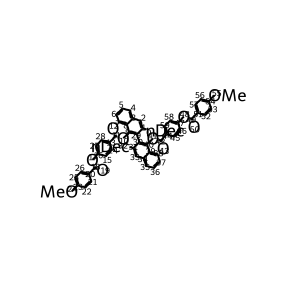 CCCCCCCCCCc1cc2ccccc2c(OC(=O)c2ccc(OC(=O)c3ccc(OC)cc3)cc2)c1-c1c(CCCCCCCCCC)cc2ccccc2c1OC(=O)c1ccc(OC(=O)c2ccc(OC)cc2)cc1